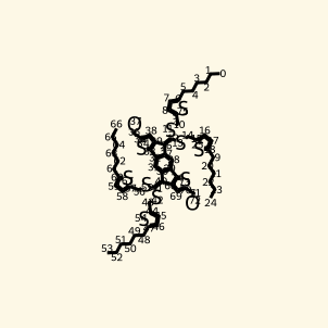 CCCCCCc1ccc(CSC(SCc2ccc(CCCCCC)s2)=C2c3cc4c(cc3-c3sc(C=O)cc32)C(=C(SCc2ccc(CCCCCC)s2)SCc2ccc(CCCCCC)s2)c2cc(C=O)sc2-4)s1